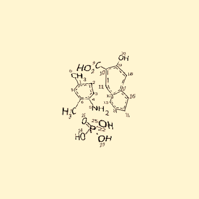 Cc1ccc(N)c(C)c1.O=C(O)c1cc2ccccc2cc1O.O=P(O)(O)O